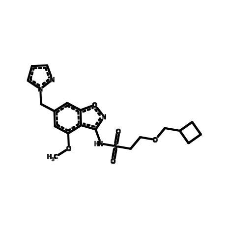 COc1cc(Cn2cccn2)cc2onc(NS(=O)(=O)CCOCC3CCC3)c12